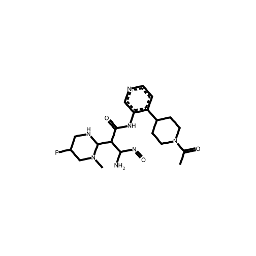 CC(=O)N1CCC(c2ccncc2NC(=O)C(C(N)N=O)C2NCC(F)CN2C)CC1